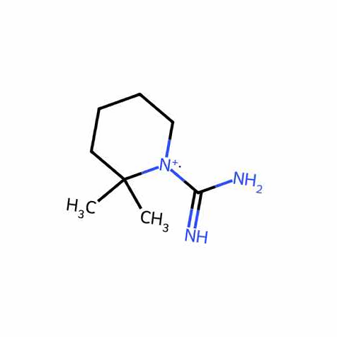 CC1(C)CCCC[N+]1C(=N)N